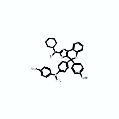 CCN(c1nc2c(s1)C(c1ccc(OC)cc1)(c1ccc(N(C)c3ccc(OC)cc3)cc1)Oc1ccccc1-2)C1CCCCC1